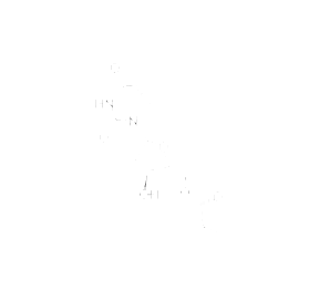 C=C(C)C(=O)OC[C@H]1O[C@@H](n2ccc(=O)[nH]c2=O)C[C@@H]1O